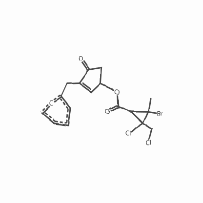 CC1(Br)C(C(=O)OC2C=C(Cc3ccccc3)C(=O)C2)C1(Cl)CCl